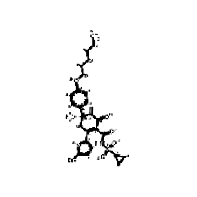 CCc1ccc(C2=C(C(=O)NS(=O)(=O)C3CC3)C(=O)N[C@@](c3ccc(OCCCCCC(F)(F)F)cc3)(C(F)(F)F)C2)s1